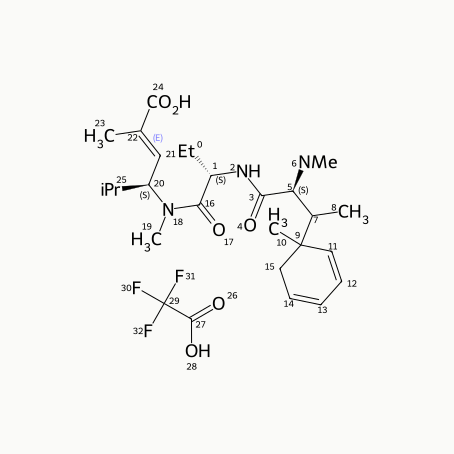 CC[C@H](NC(=O)[C@@H](NC)C(C)C1(C)C=CC=CC1)C(=O)N(C)[C@H](/C=C(\C)C(=O)O)C(C)C.O=C(O)C(F)(F)F